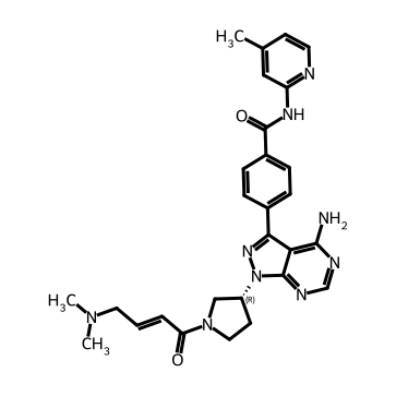 Cc1ccnc(NC(=O)c2ccc(-c3nn([C@@H]4CCN(C(=O)C=CCN(C)C)C4)c4ncnc(N)c34)cc2)c1